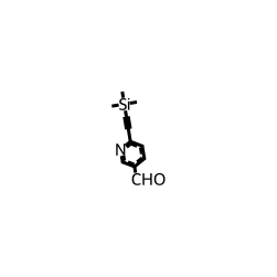 C[Si](C)(C)C#Cc1ccc(C=O)cn1